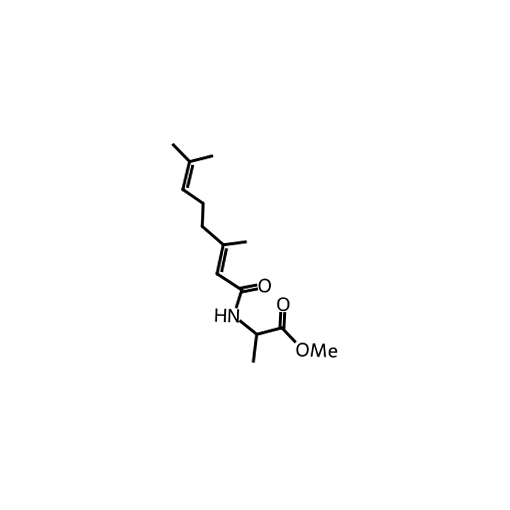 COC(=O)C(C)NC(=O)/C=C(\C)CCC=C(C)C